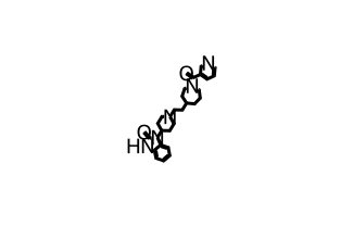 O=C(c1cccnc1)N1CCCC(CCN2CCC(n3c(=O)[nH]c4ccccc43)CC2)CC1